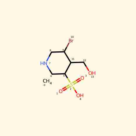 C.O=S(=O)(O)C1CNCC(Br)C1CO